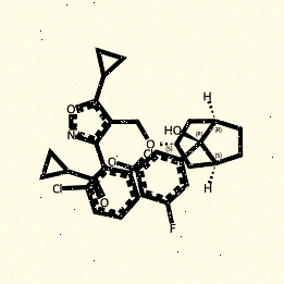 O=C(Oc1cc(F)cc([C@]2(O)[C@@H]3CC[C@H]2C[C@H](OCc2c(-c4c(Cl)cccc4Cl)noc2C2CC2)C3)c1)C1CC1